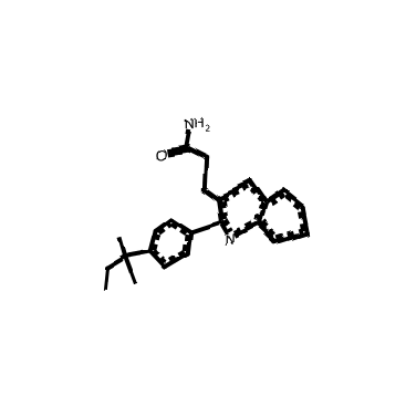 CCC(C)(C)c1ccc(-c2nc3ccccc3cc2CCC(N)=O)cc1